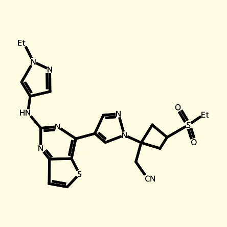 CCn1cc(Nc2nc(-c3cnn(C4(CC#N)CC(S(=O)(=O)CC)C4)c3)c3sccc3n2)cn1